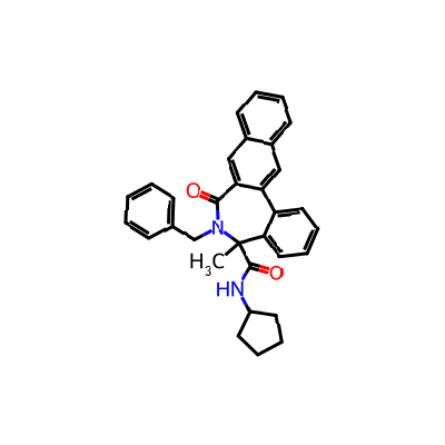 CC1(C(=O)NC2CCCC2)c2ccccc2-c2cc3ccccc3cc2C(=O)N1Cc1ccccc1